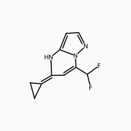 FC(F)C1=CC(=C2CC2)Nc2ccnn21